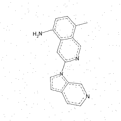 Cc1ccc(N)c2cc(-n3ccc4ccncc43)ncc12